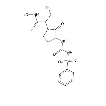 CC(C)CC(C(=O)NO)N1CCC(NC(=O)NS(=O)(=O)c2ccccc2)C1=O